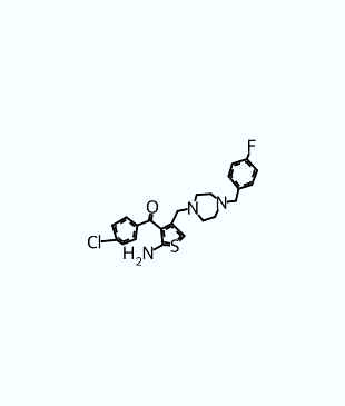 Nc1scc(CN2CCN(Cc3ccc(F)cc3)CC2)c1C(=O)c1ccc(Cl)cc1